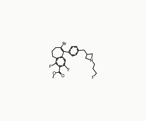 COC(=O)c1c(F)cc2c(c1F)CCCC(Br)=C2c1ccc(CC2CN(CCCF)C2)cc1